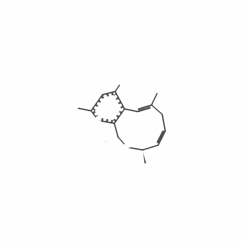 C/C1=C\c2c(Cl)cc(C)nc2[C@@H](C)N[C@H](C)/C=C\C1